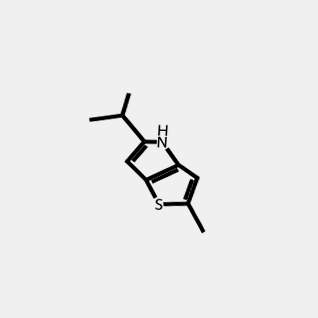 Cc1cc2[nH]c(C(C)C)cc2s1